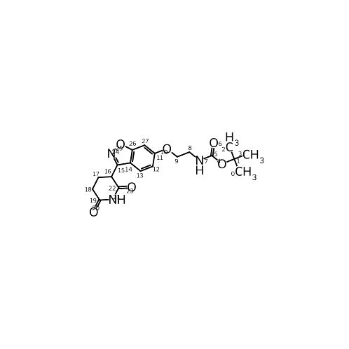 CC(C)(C)OC(=O)NCCOc1ccc2c(C3CCC(=O)NC3=O)noc2c1